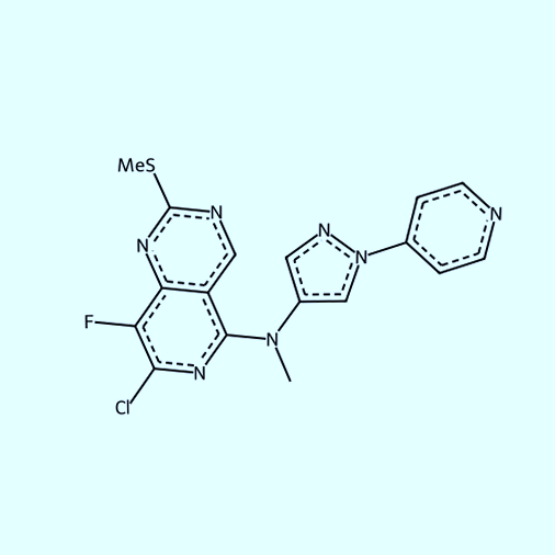 CSc1ncc2c(N(C)c3cnn(-c4ccncc4)c3)nc(Cl)c(F)c2n1